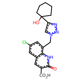 O=C(O)c1cc2cc(Cl)cc(Cn3cc(C4(O)CCCCC4)nn3)c2[nH]c1=O